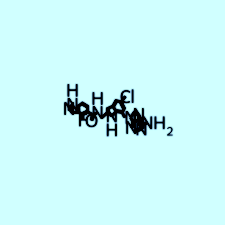 Nc1ncnc2c1ncn2Cc1cc(Cl)cc2cc(CNC(=O)c3ccc4[nH]ncc4c3F)[nH]c12